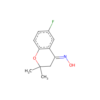 CC1(C)CC(=NO)c2cc(F)ccc2O1